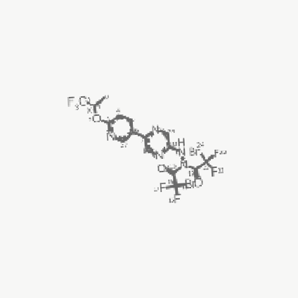 C[C@@H](Oc1ccc(-c2cnc(NN(C(=O)C(F)(F)Br)C(=O)C(F)(F)Br)cn2)cn1)C(F)(F)F